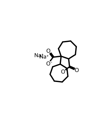 O=C([O-])C1CCCCCC1(C(=O)[O-])C1CCCCCC1.[Na+].[Na+]